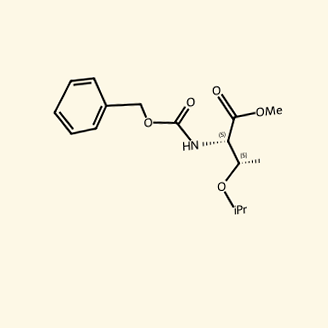 COC(=O)[C@@H](NC(=O)OCc1ccccc1)[C@H](C)OC(C)C